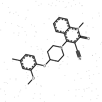 COc1cc(C)ccc1OC1CCN(c2c(C#N)c(=O)n(C)c3ccccc23)CC1